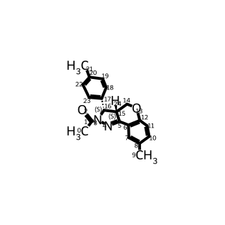 CC(=O)N1N=C2c3cc(C)ccc3OC[C@H]2[C@H]1c1ccc(C)cc1